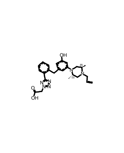 C=CCN1C[C@H](C)N(c2cc(O)cc(Cc3ccccc3-c3nnn(CC(=O)O)n3)c2)C[C@H]1C